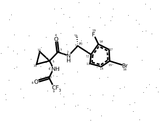 C[C@@H](NC(=O)C1(NC(=O)C(F)(F)F)CC1)c1ccc(Br)cc1F